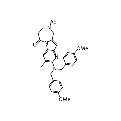 COc1ccc(CN(Cc2ccc(OC)cc2)c2nc3cc4n(c3cc2C)C(=O)CCN(C(C)=O)C4)cc1